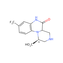 O=C1Nc2cc(C(F)(F)F)ccc2N2C1CNC[C@H]2C(=O)O